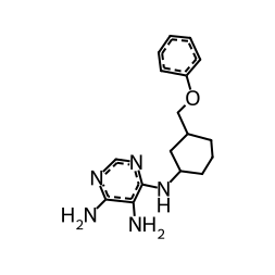 Nc1ncnc(NC2CCCC(COc3ccccc3)C2)c1N